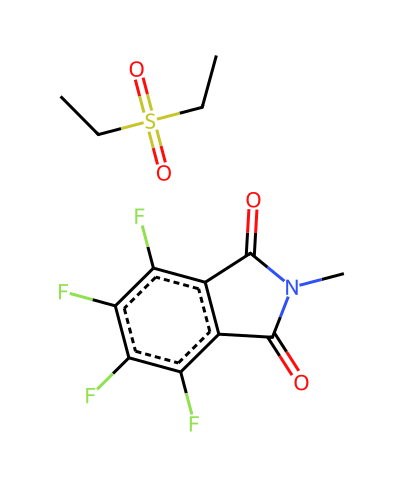 CCS(=O)(=O)CC.CN1C(=O)c2c(F)c(F)c(F)c(F)c2C1=O